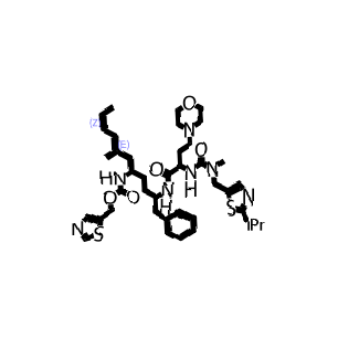 C/C=C\C=C(/C)CC(CCC(Cc1ccccc1)NC(=O)C(CCN1CCOCC1)NC(=O)N(C)Cc1cnc(C(C)C)s1)NC(=O)OCc1cncs1